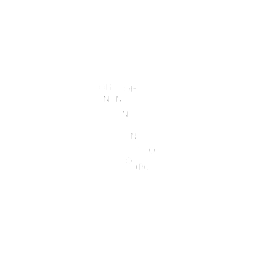 CC(C)(C)OC(=O)N1CCN(/[N+](O)=N/O)CC1